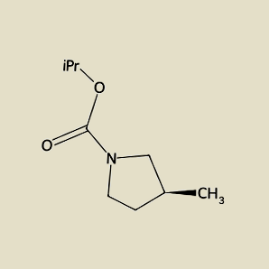 CC(C)OC(=O)N1CC[C@H](C)C1